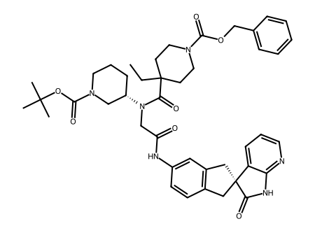 CCC1(C(=O)N(CC(=O)Nc2ccc3c(c2)C[C@@]2(C3)C(=O)Nc3ncccc32)[C@H]2CCCN(C(=O)OC(C)(C)C)C2)CCN(C(=O)OCc2ccccc2)CC1